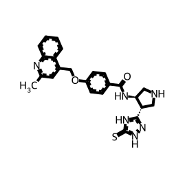 Cc1cc(COc2ccc(C(=O)N[C@H]3CNC[C@@H]3c3n[nH]c(=S)[nH]3)cc2)c2ccccc2n1